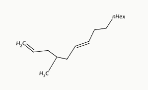 C=CCC(C)CC=CCCCCCCCC